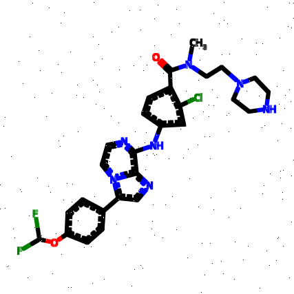 CN(CCN1CCNCC1)C(=O)c1ccc(Nc2nccn3c(-c4ccc(OC(F)F)cc4)cnc23)cc1Cl